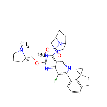 CN1CCC[C@H]1COc1nc(N2CC3CCC(C2)N3C(=O)OC(C)(C)C)c2cnc(-c3cccc4c3C3(CC4)CC3)c(F)c2n1